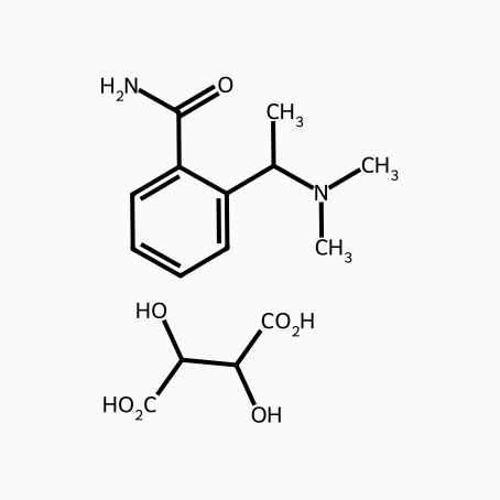 CC(c1ccccc1C(N)=O)N(C)C.O=C(O)C(O)C(O)C(=O)O